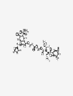 C[C@@H]1CO[C@@](O)(c2cc(F)cc(F)c2)[C@H](C)N1C(=O)OCOC(=O)CCOC(=O)c1cc(S(N)(=O)=O)c(Cl)cc1NCc1ccco1